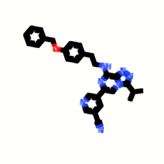 CC(C)c1nnc2c(NCCc3ccc(OCc4ccccc4)cc3)nc(-c3cncc(C#N)c3)cn12